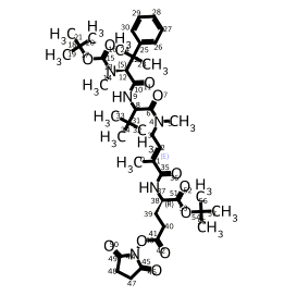 C/C(=C\CN(C)C(=O)C(NC(=O)[C@@H](N(C)C(=O)OC(C)(C)C)C(C)(C)c1ccccc1)C(C)(C)C)C(=O)N[C@H](CCC(=O)ON1C(=O)CCC1=O)C(=O)OC(C)(C)C